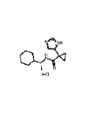 C[C@H](NC(=O)C1(c2cnc[nH]2)CC1)C1CCCCC1.Cl